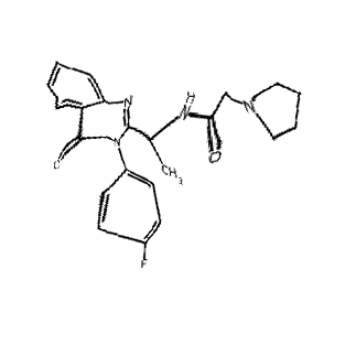 CC(NC(=O)CN1CCCC1)c1nc2ccccc2c(=O)n1-c1ccc(F)cc1